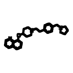 c1cnc2c(OC3CCN(CCc4ccc(CN5CCCC5)cc4)CC3)cccc2c1